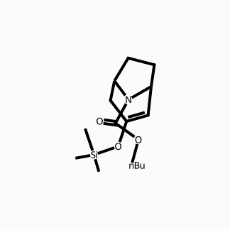 CCCCOC(=O)N1C2C=C(O[Si](C)(C)C)CC1CC2